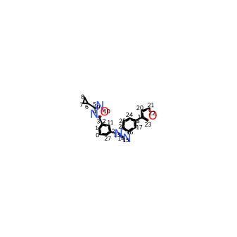 c1cc(-c2nc(C3CC3)no2)cc(-n2cnc3cc(-c4ccoc4)ccc32)c1